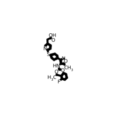 Cc1onc(-c2ccc(Sc3ccc(CC(=O)O)cn3)cc2)c1NC(=O)O[C@H](C)c1ccccc1F